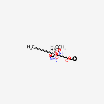 CCCCCCCCCCCCC[C@@H](CC(N)=O)OC(=O)C(CCCCC(=O)OCc1ccccc1)NC(=O)OC(C)(C)C